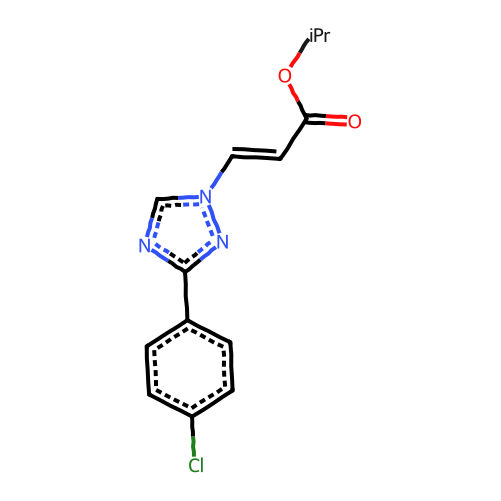 CC(C)OC(=O)C=Cn1cnc(-c2ccc(Cl)cc2)n1